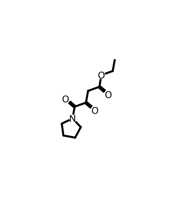 CCOC(=O)CC(=O)C(=O)N1CCCC1